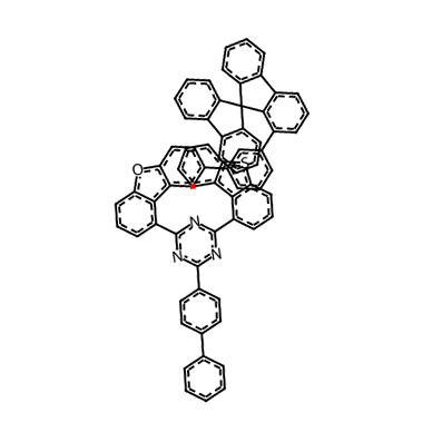 c1ccc(-c2ccc(-c3nc(-c4cccc5oc6ccc(-c7cccc(-c8cccc9c8C8(c%10ccccc%10-c%10ccccc%108)c8ccccc8-9)c7)cc6c45)nc(-c4cccc5sc6ccccc6c45)n3)cc2)cc1